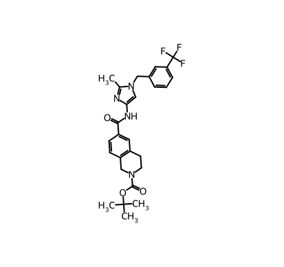 Cc1nc(NC(=O)c2ccc3c(c2)CCN(C(=O)OC(C)(C)C)C3)cn1Cc1cccc(C(F)(F)F)c1